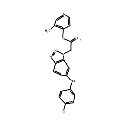 C=C(Cn1nnc2ccc(Nc3ccc(Cl)cc3)nc21)Sc1ccncc1C